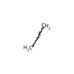 C=CCCCCCCC=CCCC=CC